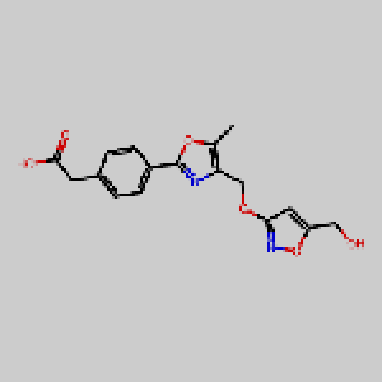 Cc1oc(-c2ccc(CC(=O)O)cc2)nc1COc1cc(CO)on1